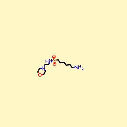 NCCCCCCS(=O)(=O)NCCN1CCOCC1